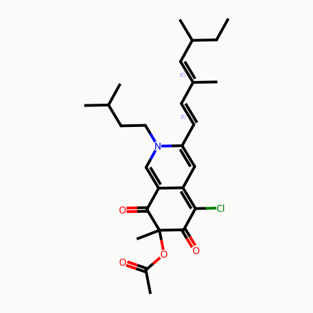 CCC(C)/C=C(C)/C=C/C1=CC2=C(Cl)C(=O)C(C)(OC(C)=O)C(=O)C2=CN1CCC(C)C